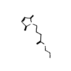 CCCNC(=O)CCCN1C(=O)C=CC1=O